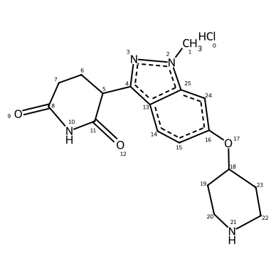 Cl.Cn1nc(C2CCC(=O)NC2=O)c2ccc(OC3CCNCC3)cc21